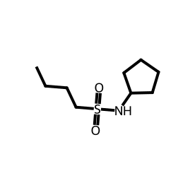 CCCCS(=O)(=O)NC1CCCC1